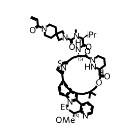 C=CC(=O)N1CCC2(CC1)CN(C(=O)N(C)[C@H](C(=O)N[C@H]1Cc3nc(cs3)-c3ccc4c(c3)c(c(-c3cccnc3[C@H](C)OC)n4CC)CC(C)(C)COC(=O)[C@@H]3CCCN(N3)C1=O)C(C)C)C2